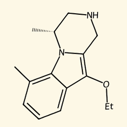 CCOc1c2n(c3c(C)cccc13)[C@H](C)CNC2